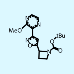 COc1nccnc1-c1cc(C2CCN2C(=O)OC(C)(C)C)on1